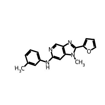 Cc1cccc(Nc2cc3c(cn2)nc(-c2ccco2)n3C)c1